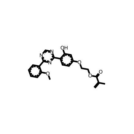 C=C(C)C(=O)OCCOc1ccc(-c2ncnc(-c3ccccc3OC)n2)c(O)c1